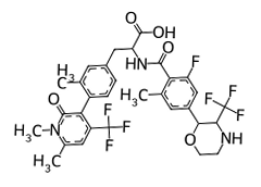 Cc1cc(CC(NC(=O)c2c(C)cc(C3OCCNC3C(F)(F)F)cc2F)C(=O)O)ccc1-c1c(C(F)(F)F)cc(C)n(C)c1=O